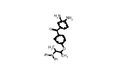 CC(Oc1ccc(C(=O)c2ccc(N)c(N)c2)cc1)C(C)N(C(C)C)C(C)C